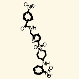 O=C(NCc1ccc(S(=O)(=O)N2CCC(Nc3ccccc3[N+](=O)[O-])CC2)s1)c1ccc([N+](=O)[O-])cc1